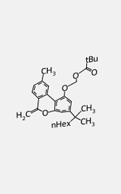 C=C1Oc2cc(C(C)(C)CCCCCC)cc(OCOC(=O)C(C)(C)C)c2-c2cc(C)ccc21